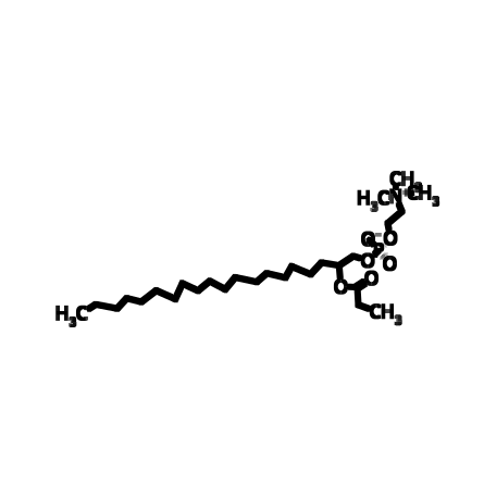 CCCCCCCCCCCCCCCCCCC(COP(=O)([O-])OCC[N+](C)(C)C)OC(=O)CC